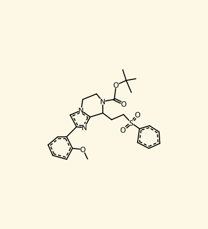 COc1ccccc1-c1cn2c(n1)C(CCS(=O)(=O)c1ccccc1)N(C(=O)OC(C)(C)C)CC2